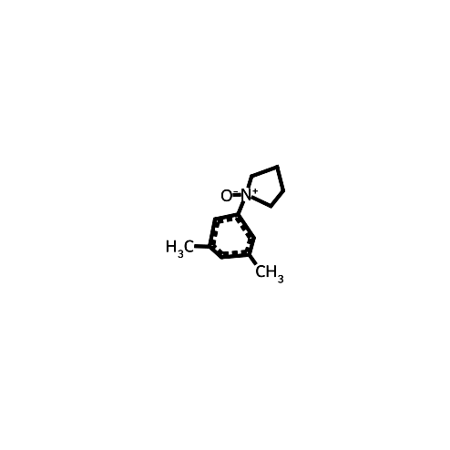 Cc1cc(C)cc([N+]2([O-])CCCC2)c1